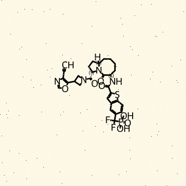 C#Cc1ncoc1C1CN(C(=O)[C@@H]2CC[C@@H]3CCCC[C@H](NC(=O)c4cc5cc(C(F)(F)P(=O)(O)O)ccc5s4)C(=O)N32)C1